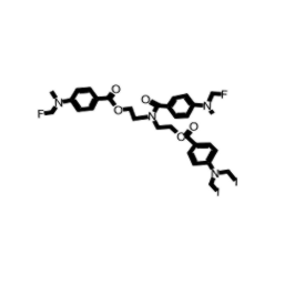 CN(CF)c1ccc(C(=O)OCCN(CCOC(=O)c2ccc(N(CI)CI)cc2)C(=O)c2ccc(N(C)CF)cc2)cc1